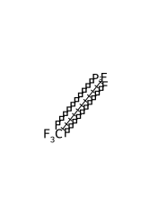 FC(F)(F)C(F)(F)C(F)(F)C(F)(F)C(F)(F)C(F)(F)C(F)(F)C(F)(F)C(F)(F)C(F)(F)C(F)(F)C(F)(F)[P]